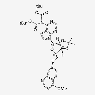 COc1ccnc2cc(OC[C@H]3O[C@@H](n4ccc5c(N(C(=O)OC(C)(C)C)C(=O)OC(C)(C)C)ncnc54)[C@@H]4OC(C)(C)O[C@@H]43)ccc12